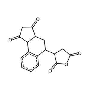 O=C1CC(C2CC3C(=O)CC(=O)C3c3ccccc32)C(=O)O1